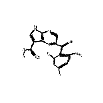 CNc1cc(Cl)cc(Cl)c1C(=N)c1cnc2[nH]cc(C(=O)NC(C)C)c2n1